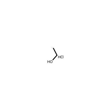 Cl.[CH2]CO